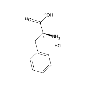 Cl.N[C@@H](Cc1ccccc1)C(=[18O])[18OH]